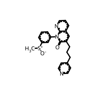 C[S+]([O-])c1cccc(-n2c(=O)c(CCCc3ccncc3)cc3cccnc32)c1